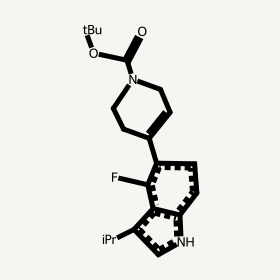 CC(C)c1c[nH]c2ccc(C3=CCN(C(=O)OC(C)(C)C)CC3)c(F)c12